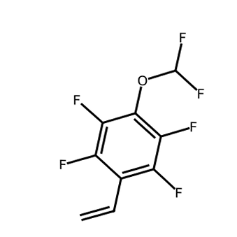 C=Cc1c(F)c(F)c(OC(F)F)c(F)c1F